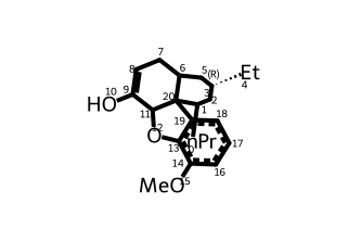 CCCC1C[C@@H](CC)CC2CC=C(O)C3Oc4c(OC)cccc4C213